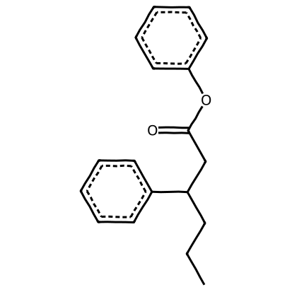 CCCC(CC(=O)Oc1ccccc1)c1ccccc1